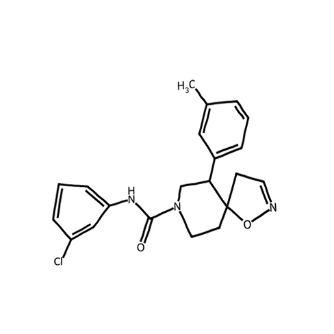 Cc1cccc(C2CN(C(=O)Nc3cccc(Cl)c3)CCC23CC=NO3)c1